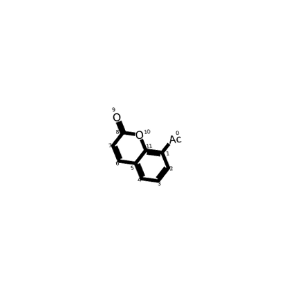 CC(=O)c1cccc2ccc(=O)oc12